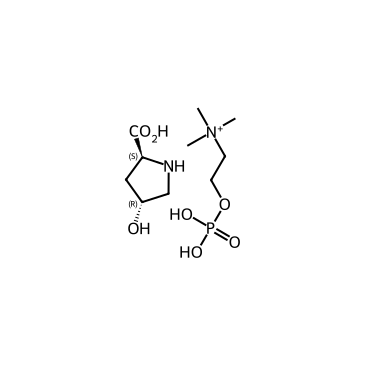 C[N+](C)(C)CCOP(=O)(O)O.O=C(O)[C@@H]1C[C@@H](O)CN1